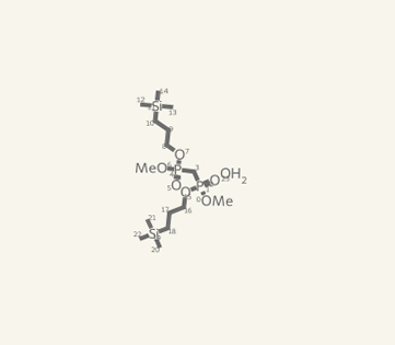 COP(=O)(CP(=O)(OC)OCCC[Si](C)(C)C)OCCC[Si](C)(C)C.O